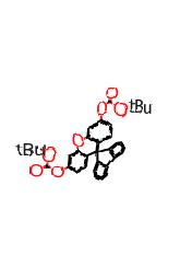 CC(C)(C)OC(=O)Oc1ccc2c(c1)Oc1cc(OC(=O)OC(C)(C)C)ccc1C21c2ccccc2-c2ccccc21